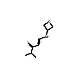 CC(C)C(=O)/C=C/NC1COC1